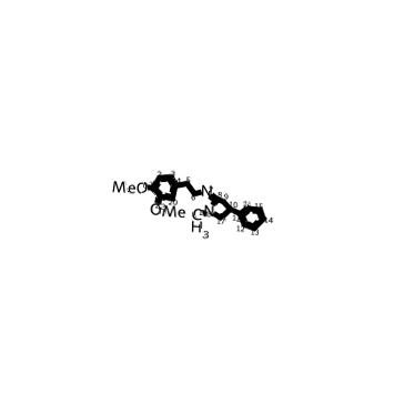 COc1ccc(CCN=C2CC(c3ccccc3)CN2C)cc1OC